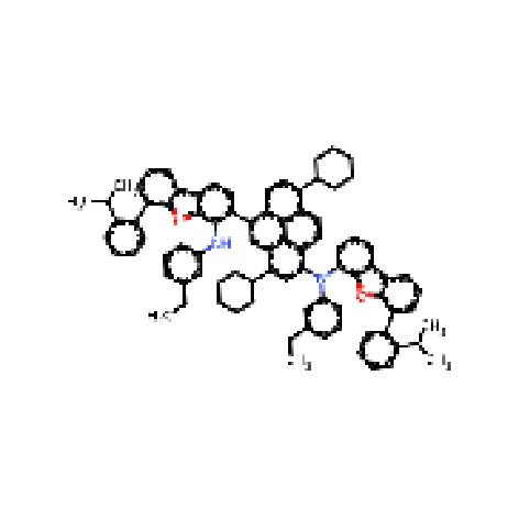 CCc1cccc(Nc2c(-c3cc4c(C5CCCCC5)cc(N(c5cccc(CC)c5)c5cccc6c5oc5c(-c7ccccc7C(C)C)cccc56)c5ccc6c(C7CCCCC7)ccc3c6c45)ccc3c2oc2c(-c4ccccc4C(C)C)cccc23)c1